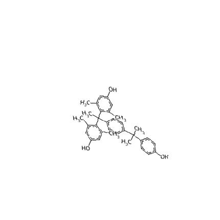 Cc1cc(O)cc(C)c1C(C)(c1ccc(C(C)(C)c2ccc(O)cc2)cc1)c1c(C)cc(O)cc1C